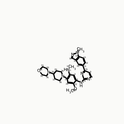 CNc1cc(Nc2nccc(-c3ccc4c(cnn4C)c3)n2)c(OC)cc1N1CCC(N2CCOCC2)CC1